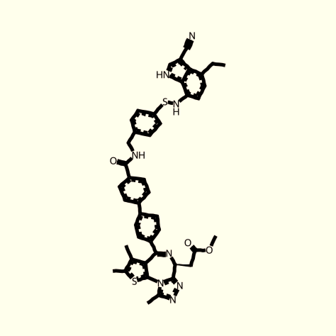 CCc1ccc(NSc2ccc(CNC(=O)c3ccc(-c4ccc(C5=N[C@@H](CC(=O)OC)c6nnc(C)n6-c6sc(C)c(C)c65)cc4)cc3)cc2)c2[nH]cc(C#N)c12